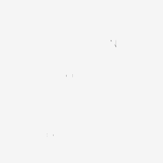 Cc1ccncc1OCC1COC1